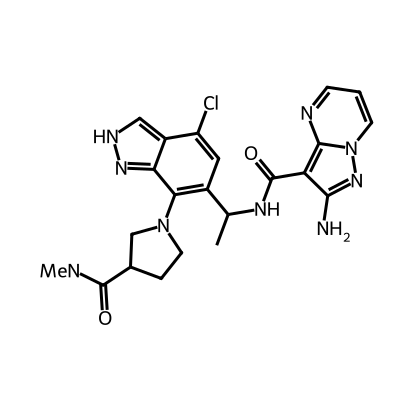 CNC(=O)C1CCN(c2c(C(C)NC(=O)c3c(N)nn4cccnc34)cc(Cl)c3c[nH]nc23)C1